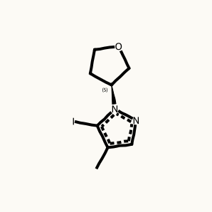 Cc1cnn([C@H]2CCOC2)c1I